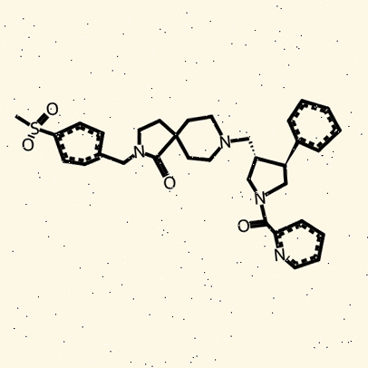 CS(=O)(=O)c1ccc(CN2CCC3(CCN(C[C@H]4CN(C(=O)c5ccccn5)C[C@@H]4c4ccccc4)CC3)C2=O)cc1